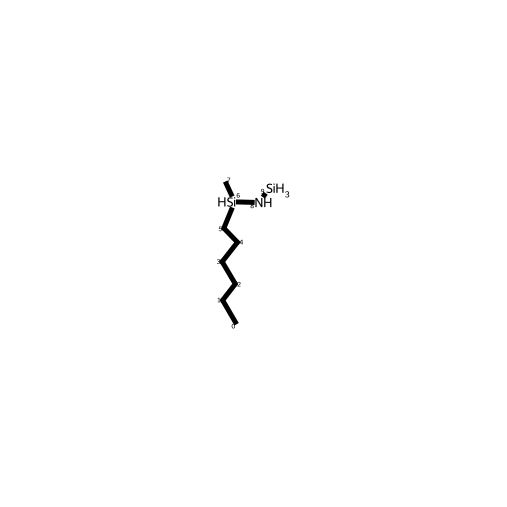 CCCCCC[SiH](C)N[SiH3]